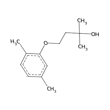 Cc1[c]cc(C)c(OCCC(C)(C)O)c1